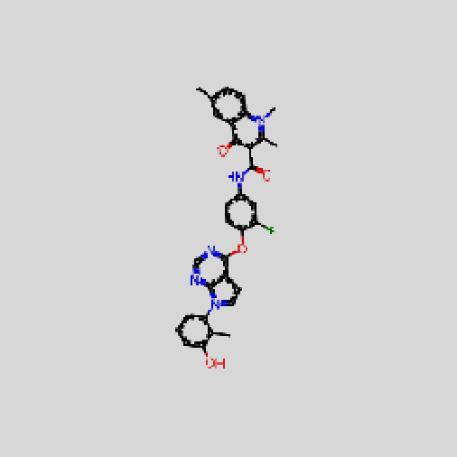 Cc1ccc2c(c1)c(=O)c(C(=O)Nc1ccc(Oc3ncnc4c3ccn4-c3cccc(O)c3C)c(F)c1)c(C)n2C